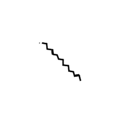 [CH2]CCC=CCCCCCCCC=CC